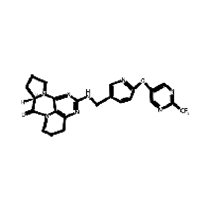 O=C1[C@@H]2CCCN2c2nc(NCc3ccc(Oc4cnc(C(F)(F)F)nc4)nc3)nc3c2N1CCC3